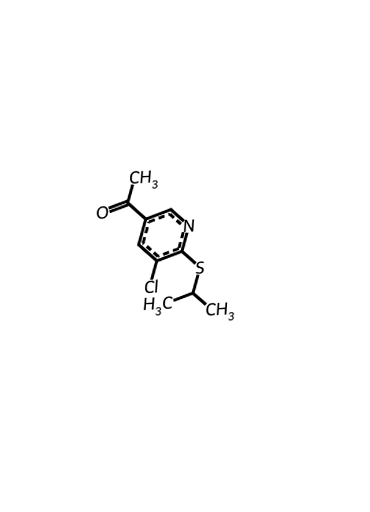 CC(=O)c1cnc(SC(C)C)c(Cl)c1